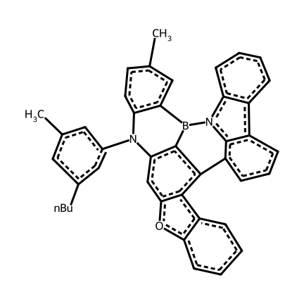 CCCCc1cc(C)cc(N2c3ccc(C)cc3B3c4c2cc2oc5ccccc5c2c4-c2cccc4c5ccccc5n3c24)c1